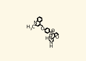 Cc1cc(COc2ccc(S(=O)(=O)c3ccoc3C3CNCN3)cc2)c2ccccc2n1